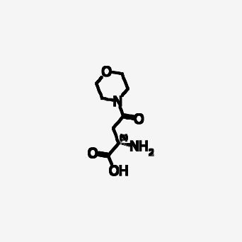 N[C@@H](CC(=O)N1CCOCC1)C(=O)O